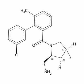 Cc1cccc(C(=O)N2C[C@H]3C[C@H]3[C@H]2CN)c1-c1cccc(Cl)c1